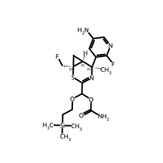 C[C@]1(c2cc(N)cnc2F)N=C(C(OCC[Si](C)(C)C)OC(N)=O)S[C@@]2(CF)C[C@H]21